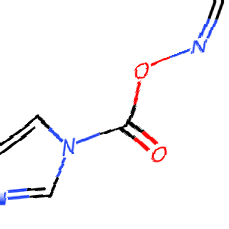 C=NOC(=O)n1ccnc1